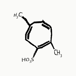 Cc1[c]cc(C)c(S(=O)(=O)O)c1